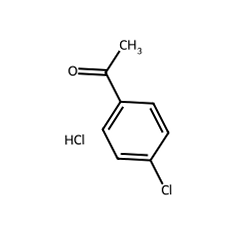 CC(=O)c1ccc(Cl)cc1.Cl